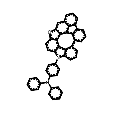 c1ccc(N(c2ccccc2)c2ccc(-n3c4cccc5c6cccc7c6c6c8c-7cccc8cc7oc8ccc3c(c8c76)c54)cc2)cc1